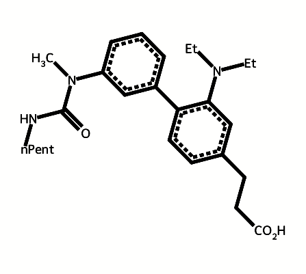 CCCCCNC(=O)N(C)c1cccc(-c2ccc(CCC(=O)O)cc2N(CC)CC)c1